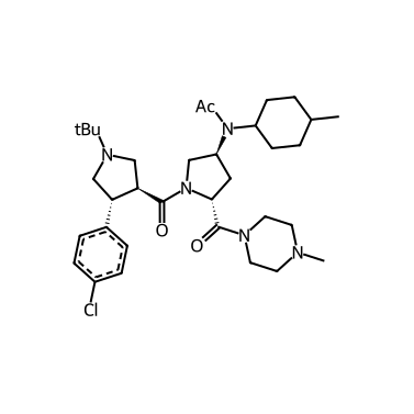 CC(=O)N(C1CCC(C)CC1)[C@H]1C[C@H](C(=O)N2CCN(C)CC2)N(C(=O)[C@@H]2CN(C(C)(C)C)C[C@H]2c2ccc(Cl)cc2)C1